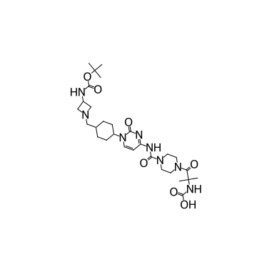 CC(C)(C)OC(=O)NC1CN(CC2CCC(n3ccc(NC(=O)N4CCN(C(=O)C(C)(C)NC(=O)O)CC4)nc3=O)CC2)C1